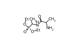 CCOP(=O)(OCC)C(C)NC(=O)C(C)N